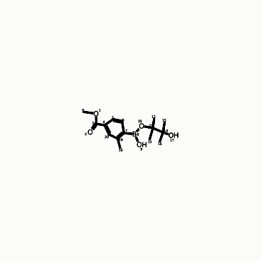 COC(=O)c1ccc(B(O)OC(C)(C)C(C)(C)O)c(C)c1